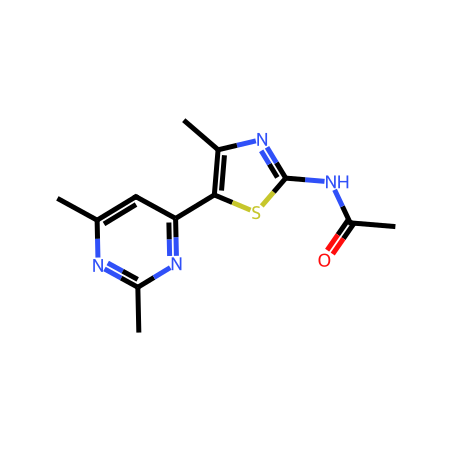 CC(=O)Nc1nc(C)c(-c2cc(C)nc(C)n2)s1